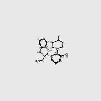 CC1CCN(c2ccccc2Cl)CC1.NCC1COc2ccccc2O1